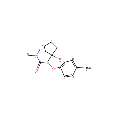 COc1ccc(OC(C(=O)N(C)C)C2(O)CCCC2)cc1